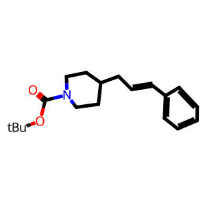 CC(C)(C)OC(=O)N1CCC(CC=Cc2ccccc2)CC1